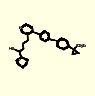 CCOC(=O)C1(c2ccc(-c3ccc(-c4ccncc4CCCC(O)c4ccccc4)cc3)cc2)CC1